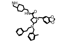 Cc1ccccc1CN(CCc1ccccc1)C1CC(C(=O)NCC2CCC(CN)CC2)N(Cc2ccc3c(c2)OCO3)C1